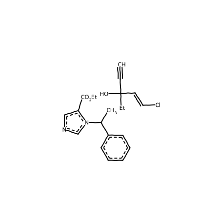 C#CC(O)(/C=C/Cl)CC.CCOC(=O)c1cncn1C(C)c1ccccc1